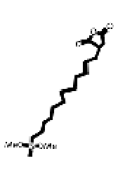 CO[Si](C)(CCCCCCCCC/C=C/CC1CC(=O)OC1=O)OC